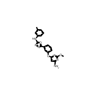 COc1nc(N)cc(Oc2cccc(-c3nnc(Nc4cccc(C)c4)o3)c2)n1